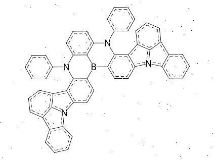 c1ccc(N2c3cccc4c3B(c3ccc5c(c32)c2cccc3c6ccccc6n5c32)c2ccc3c(c2N4c2ccccc2)c2cccc4c5ccccc5n3c42)cc1